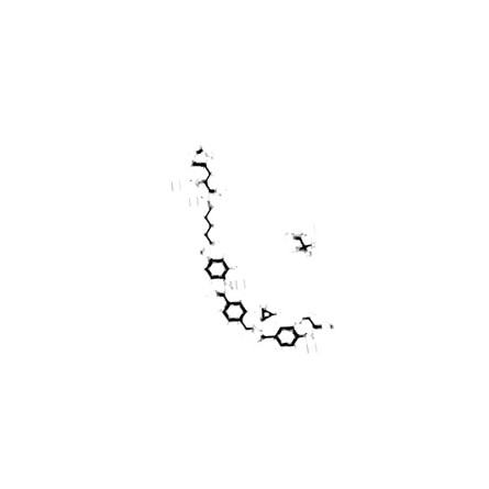 N[C@@H](Cc1cscn1)C(=O)NCCCCCOc1ccc(NC(=O)c2ccc(CN(C(=O)c3ccc4c(c3)OCC(=O)N4)C3CC3)cc2)cc1.O=C(O)C(F)(F)F